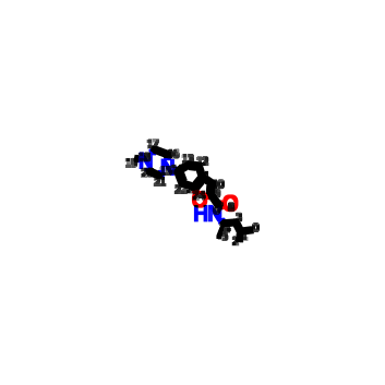 CC(C)C[C@@H](C)NC(=O)c1cc2ccc(N3CCN(C)CC3)cc2o1